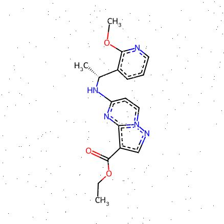 CCOC(=O)c1cnn2ccc(N[C@H](C)c3cccnc3OC)nc12